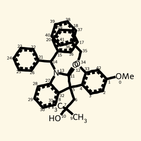 COc1ccc(C2(CC(C)(C)O)C(=O)N(C(c3ccccc3)c3ccccc3)c3ccccc32)c(OCc2ccccc2)c1